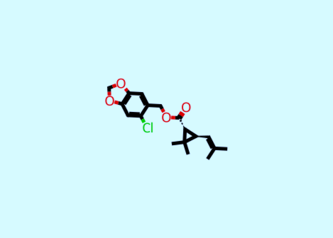 CC(C)=C[C@@H]1[C@@H](C(=O)OCc2cc3c(cc2Cl)OCO3)C1(C)C